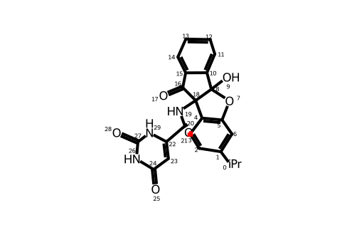 CC(C)c1ccc2c(c1)OC1(O)c3ccccc3C(=O)C21NC(=O)c1cc(=O)[nH]c(=O)[nH]1